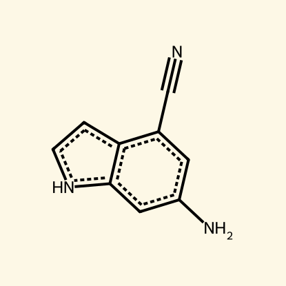 N#Cc1cc(N)cc2[nH]ccc12